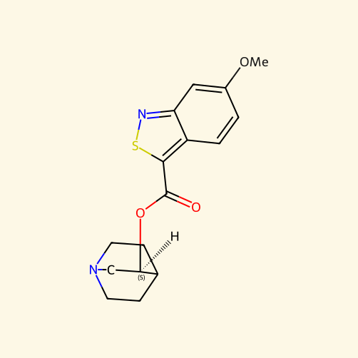 COc1ccc2c(C(=O)O[C@@H]3CN4CCC3CC4)snc2c1